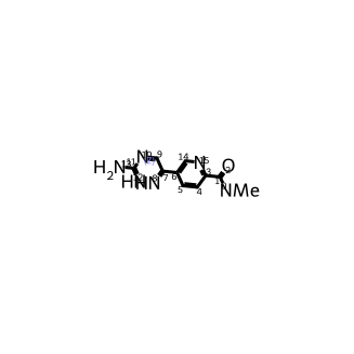 CNC(=O)c1ccc(C(=N)/C=N\C(=N)N)cn1